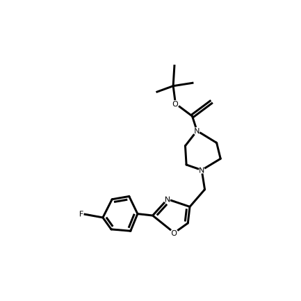 C=C(OC(C)(C)C)N1CCN(Cc2coc(-c3ccc(F)cc3)n2)CC1